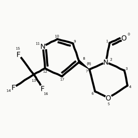 O=CN1CCOC[C@H]1c1ccnc(C(F)(F)F)c1